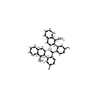 Cc1ccc(C(=O)c2ccc(C)cc2-c2ccc3cccnc3c2N)c(-c2ccc3cccnc3c2N)c1